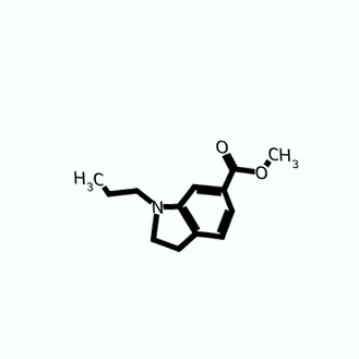 CCCN1CCc2ccc(C(=O)OC)cc21